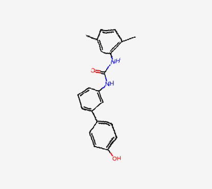 Cc1ccc(C)c(NC(=O)Nc2cccc(-c3ccc(O)cc3)c2)c1